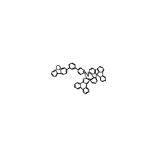 c1cc(-c2ccc(N(c3ccc4c5ccccc5c5ccccc5c4c3)c3cccc4c3-c3ccccc3C43c4ccccc4-c4ccccc43)cc2)cc(-c2ccc3c(c2)oc2ccccc23)c1